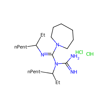 CCCCCC(CC)N=C(N1CCCCCC1)N(C(=N)N)C(CC)CCCCC.Cl.Cl